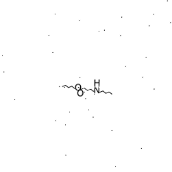 [CH2]CCCCOC(=O)CCCCNCCCCC